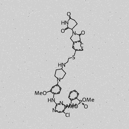 COc1cc(N2CCC(NCCSc3ccc4c(c3)CN(C3CCC(=O)NC3=O)C4=O)CC2)ccc1Nc1ncc(Cl)c(Nc2ccccc2P(=O)(OC)OC)n1